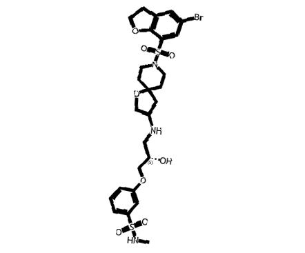 CNS(=O)(=O)c1cccc(OC[C@@H](O)CNC2COC3(CCN(S(=O)(=O)c4cc(Br)cc5c4OCC5)CC3)C2)c1